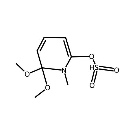 COC1(OC)C=CC=C(O[SH](=O)=O)N1C